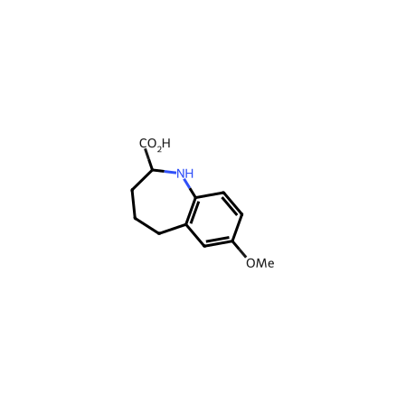 COc1ccc2c(c1)CCCC(C(=O)O)N2